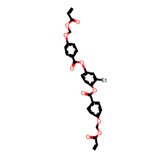 C=CC(=O)OCOc1ccc(C(=O)Oc2ccc(OC(=O)c3ccc(OCOC(=O)C=C)cc3)c(CC)c2)cc1